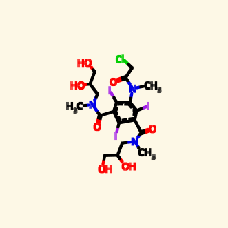 CN(CC(O)CO)C(=O)c1c(I)c(C(=O)N(C)CC(O)CO)c(I)c(N(C)C(=O)CCl)c1I